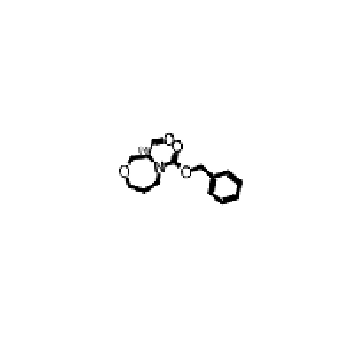 O=C[C@@H]1COCCCN1C(=O)OCc1ccccc1